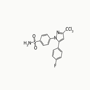 NS(=O)(=O)c1ccc(-n2nc(C(Cl)(Cl)Cl)cc2-c2ccc(F)cc2)cc1